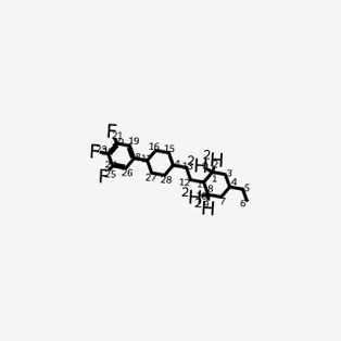 [2H]C1([2H])CC(CC)CC([2H])([2H])C1CCC1CCC(c2cc(F)c(F)c(F)c2)CC1